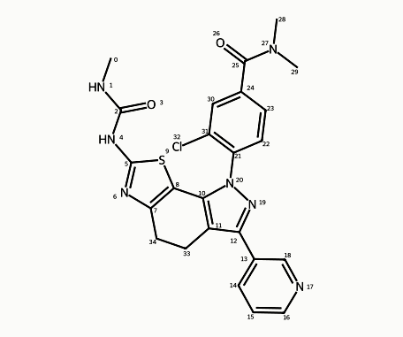 CNC(=O)Nc1nc2c(s1)-c1c(c(-c3cccnc3)nn1-c1ccc(C(=O)N(C)C)cc1Cl)CC2